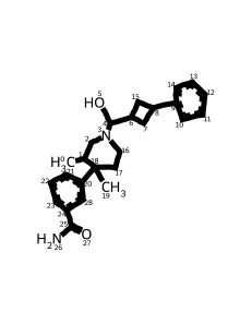 CC1CN(C(O)C2CC(c3ccccc3)C2)CCC1(C)c1cccc(C(N)=O)c1